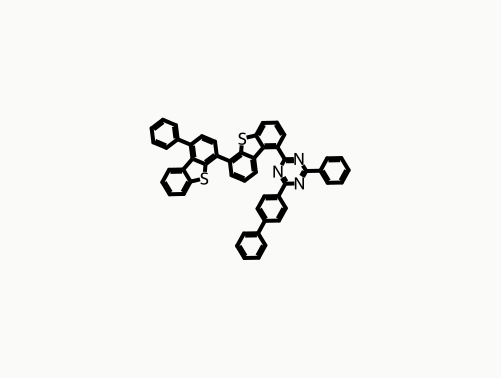 c1ccc(-c2ccc(-c3nc(-c4ccccc4)nc(-c4cccc5sc6c(-c7ccc(-c8ccccc8)c8c7sc7ccccc78)cccc6c45)n3)cc2)cc1